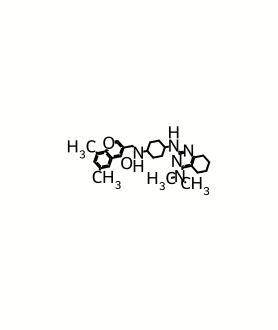 Cc1cc(C)c2occ(CNC3CCC(Nc4nc5c(c(N(C)C)n4)CCCC5)CC3)c(=O)c2c1